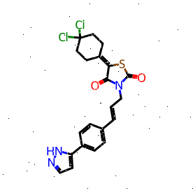 O=C1SC(=C2CCC(Cl)(Cl)CC2)C(=O)N1CC=Cc1ccc(-c2ccn[nH]2)cc1